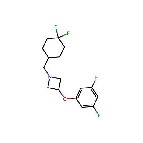 Fc1cc(F)cc(OC2CN(CC3CCC(F)(F)CC3)C2)c1